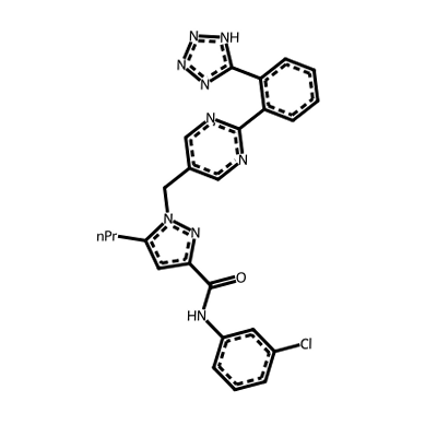 CCCc1cc(C(=O)Nc2cccc(Cl)c2)nn1Cc1cnc(-c2ccccc2-c2nnn[nH]2)nc1